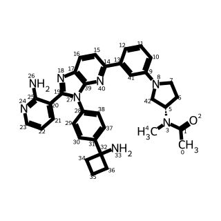 CC(=O)N(C)[C@H]1CCN(c2cccc(-c3ccc4nc(-c5cccnc5N)n(-c5ccc(C6(N)CCC6)cc5)c4n3)c2)C1